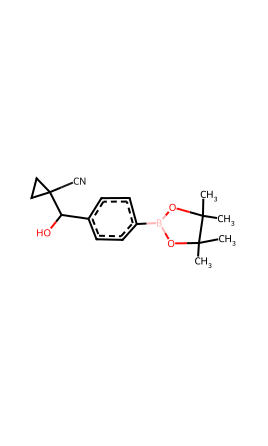 CC1(C)OB(c2ccc(C(O)C3(C#N)CC3)cc2)OC1(C)C